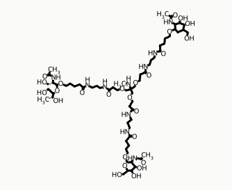 CNC(COCCC(=O)NCCCNC(=O)CCCCOC1CC(CO)C(O)C(O)C1NC(C)=O)(COCCC(=O)NCCCNC(=O)CCCCOC1OC(CO)C(O)C(O)C1NC(C)=O)COCCC(=O)NCCCNC(=O)CCCCOC(OC(CO)[C@@H](C)O)[C@H](CO)NC(C)=O